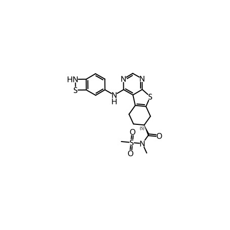 CN(C(=O)[C@H]1CCc2c(sc3ncnc(Nc4ccc5[nH]sc5c4)c23)C1)S(C)(=O)=O